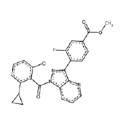 COC(=O)c1ccc(-c2nn(C(=O)c3c(Cl)cccc3C3CC3)c3cccnc23)c(F)c1